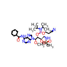 CO[C@H]([C@H](OP(OCCC#N)N(C(C)C)C(C)C)[C@@H](CNS(C)(=O)=O)OC)n1cnc2c(NC(=O)c3ccccc3)ncnc21